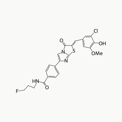 COc1cc(/C=c2\sc3nc(-c4ccc(C(=O)NCCCF)cc4)cn3c2=O)cc(Cl)c1O